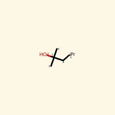 [CH2]C(C)(O)CC(C)C